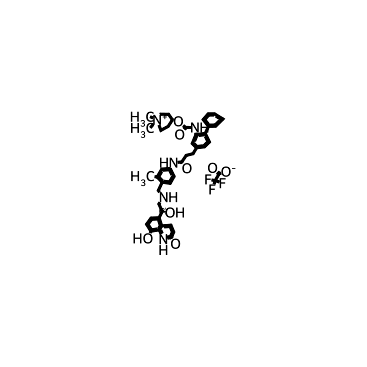 Cc1cc(NC(=O)CCc2ccc(-c3ccccc3)c(NC(=O)OC3CC[N+](C)(C)CC3)c2)ccc1CNC[C@H](O)c1ccc(O)c2[nH]c(=O)ccc12.O=C([O-])C(F)(F)F